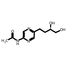 CC(=O)Nc1cnc(CC[C@@H](O)CO)cn1